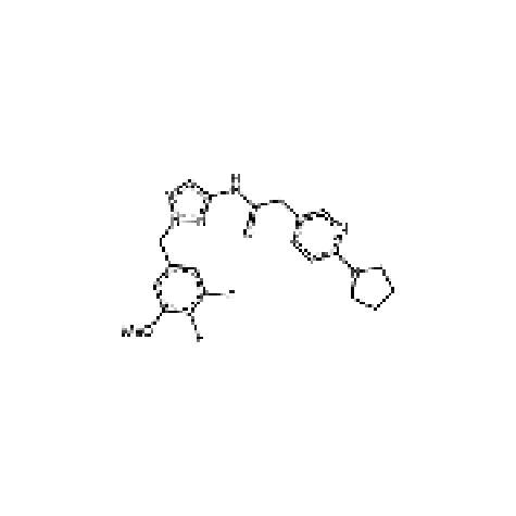 COc1cc(Cn2ncc(NC(=O)Cc3ccc(N4CCCC4)nc3)n2)cc(F)c1F